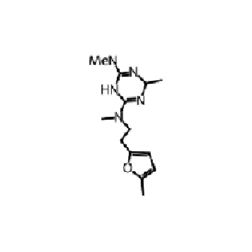 CNC1=NC(C)N=C(N(C)CCc2ccc(C)o2)N1